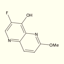 COc1ccc2ncc(F)c(O)c2n1